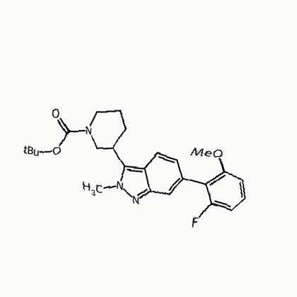 COc1cccc(F)c1-c1ccc2c(C3CCCN(C(=O)OC(C)(C)C)C3)n(C)nc2c1